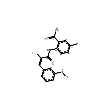 COc1cccc(C=C(C)C(=O)Nc2ccc(Cl)cc2C(=O)O)c1